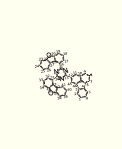 c1ccc2c(c1)-c1cccc3cc(-c4nc(-c5cccc6oc7ccccc7c56)nc(-c5cccc6oc7ccccc7c56)n4)cc-2c13